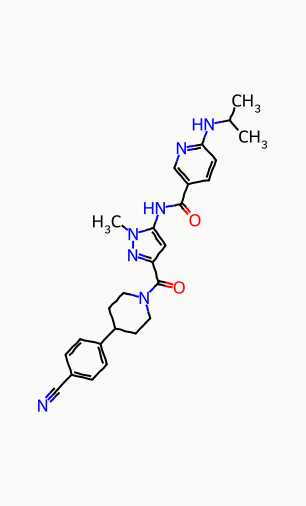 CC(C)Nc1ccc(C(=O)Nc2cc(C(=O)N3CCC(c4ccc(C#N)cc4)CC3)nn2C)cn1